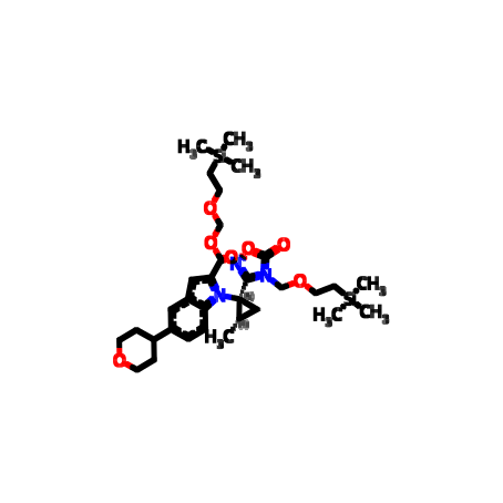 C[C@H]1C[C@]1(c1noc(=O)n1COCC[Si](C)(C)C)n1c(C(=O)OCOCC[Si](C)(C)C)cc2cc(C3CCOCC3)ccc21